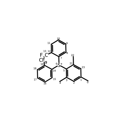 Cc1cc(C)c([S+](c2ccccc2C(F)(F)F)c2ccccc2C(F)(F)F)c(C)c1